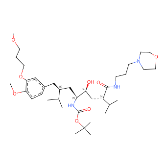 COCCCOc1cc(C[C@@H](C[C@H](NC(=O)OC(C)(C)C)[C@@H](O)C[C@H](C(=O)NCCCN2CCOCC2)C(C)C)C(C)C)ccc1OC